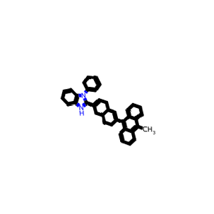 Cc1c2c(c(C3=CC4CC=C(C5NC6=C(C=CCC6)N5C5=CC=CCC5)CC4CC3)c3c1=CCCC=3)C=CCC2